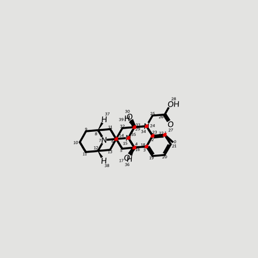 CCC1C[C@@H]2CC(N3[C@@H]4CCC[C@H]3CC(n3c(=O)c5ccccc5n(CC(=O)O)c3=O)C4)C[C@H](C1)C2